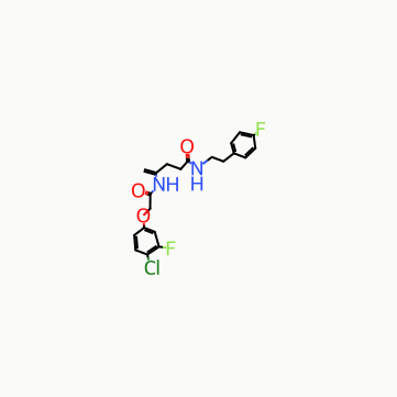 C=C(CCC(=O)NCCc1ccc(F)cc1)NC(=O)COc1ccc(Cl)c(F)c1